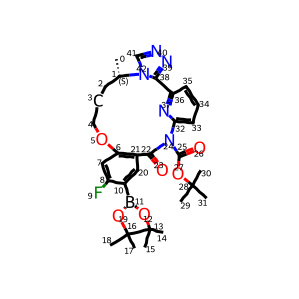 C[C@H]1CCCOc2cc(F)c(B3OC(C)(C)C(C)(C)O3)cc2C(=O)N(C(=O)OC(C)(C)C)c2cccc(n2)-c2nncn21